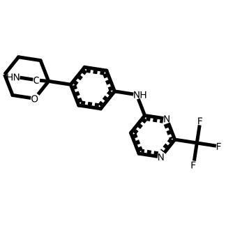 FC(F)(F)c1nccc(Nc2ccc(C34CCC(CO3)NC4)cc2)n1